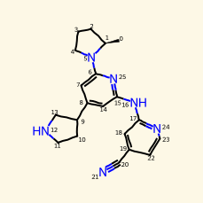 C[C@@H]1CCCN1c1cc(C2CCNC2)cc(Nc2cc(C#N)ccn2)n1